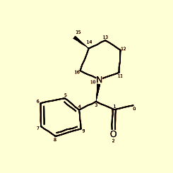 CC(=O)[C@@H](c1ccccc1)N1CCC[C@H](C)C1